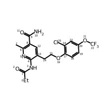 CCC(=O)Nc1nc(C)c(C(N)=O)cc1CCOc1ccc(OC(F)(F)F)cc1Cl